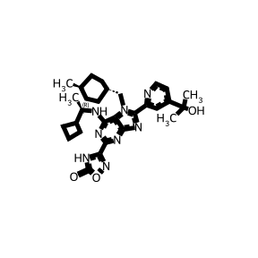 C[C@@H](Nc1nc(-c2noc(=O)[nH]2)nc2nc(-c3cc(C(C)(C)O)ccn3)n(C[C@H]3CC[C@H](C)CC3)c12)C1CCC1